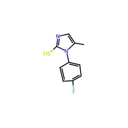 Cc1cnc(S)n1-c1ccc(F)cc1